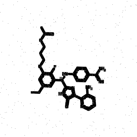 CCc1cc(OCCCOC(C)=O)c(F)c([C@H](Nc2ccc(C(=N)N)cc2)c2nn(-c3ncccc3N)c(=O)[nH]2)c1